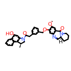 COc1cc2c(cc1OCc1cccc(CC(=O)N3C[C@@H](C)c4c3cc(O)c3ccccc43)c1)N=C[C@@H]1CCCCN1C2=O